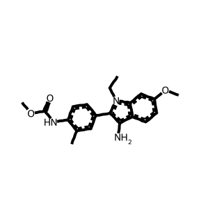 CCn1c(-c2ccc(NC(=O)OC)c(C)c2)c(N)c2ccc(OC)cc21